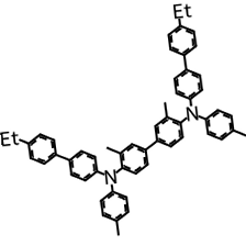 CCc1ccc(-c2ccc(N(c3ccc(C)cc3)c3ccc(-c4ccc(N(c5ccc(C)cc5)c5ccc(-c6ccc(CC)cc6)cc5)c(C)c4)cc3C)cc2)cc1